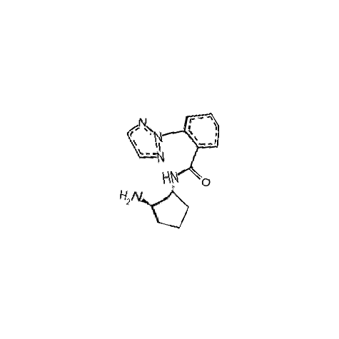 N[C@@H]1CCC[C@H]1NC(=O)c1ccccc1-n1nccn1